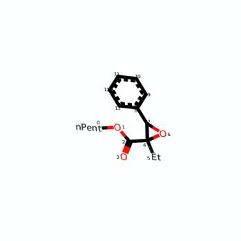 CCCCCOC(=O)C1(CC)OC1c1ccccc1